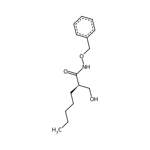 CCCCC[C@H](CO)C(=O)NOCc1ccccc1